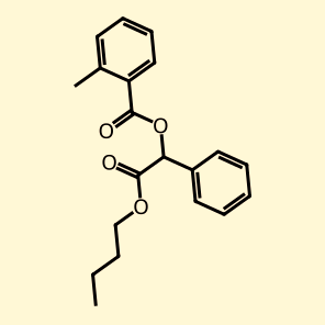 CCCCOC(=O)C(OC(=O)c1ccccc1C)c1ccccc1